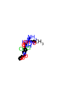 Cc1cc(CN/C(=N\CN)NC[C@H](NC(=O)c2c(Cl)cc3c(c2Cl)CCN(C(=O)c2cc4ccccc4o2)C3)C(=O)O)no1